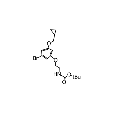 CC(C)(C)OC(=O)NCCOc1cc(Br)cc(OCC2CC2)c1